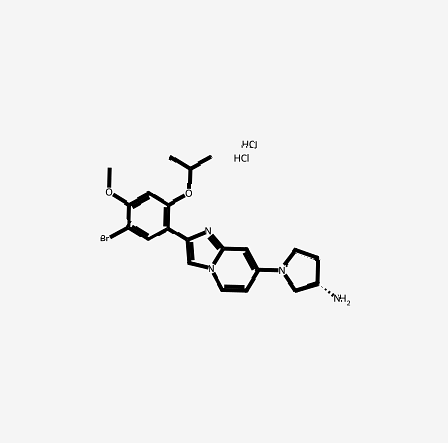 COc1cc(OC(C)C)c(-c2cn3ccc(N4CC[C@H](N)C4)cc3n2)cc1Br.Cl.Cl